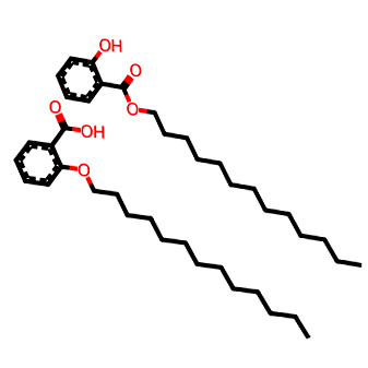 CCCCCCCCCCCCCOC(=O)c1ccccc1O.CCCCCCCCCCCCCOc1ccccc1C(=O)O